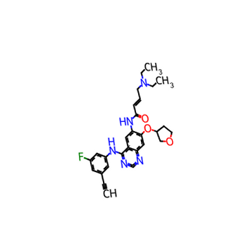 C#Cc1cc(F)cc(Nc2ncnc3cc(OC4CCOC4)c(NC(=O)C=CCN(CC)CC)cc23)c1